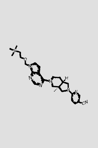 C[C@@]12CN(c3ccc(C#N)cn3)C[C@H]1CCN(c1ncnc3c1ccn3COCC[Si](C)(C)C)C2